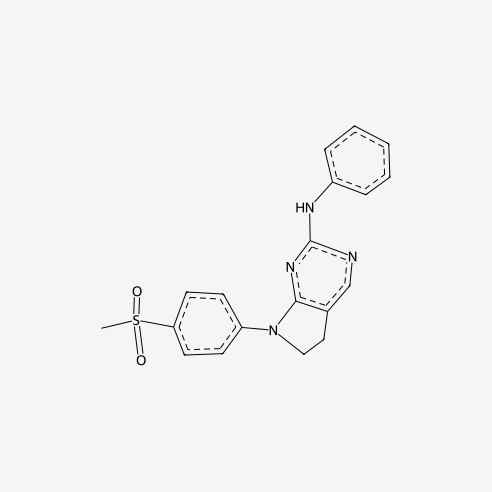 CS(=O)(=O)c1ccc(N2CCc3cnc(Nc4ccccc4)nc32)cc1